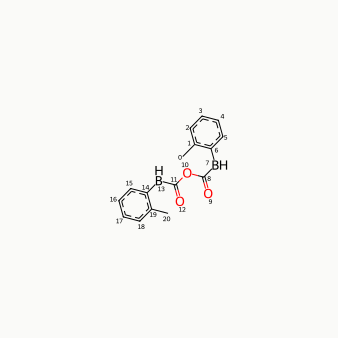 Cc1ccccc1BC(=O)OC(=O)Bc1ccccc1C